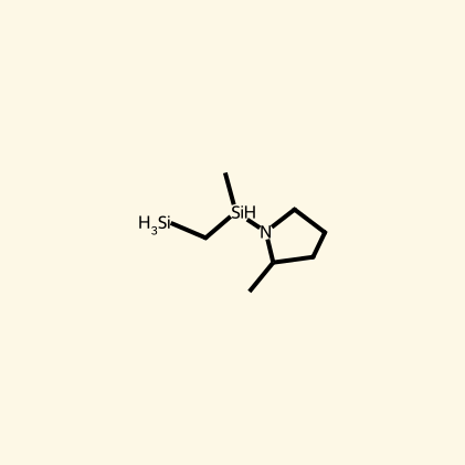 CC1CCCN1[SiH](C)C[SiH3]